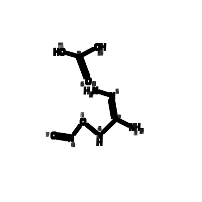 NN=C(N)NON=O.O=C(O)O